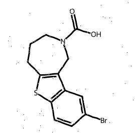 O=C(O)N1CCCc2sc3ccc(Br)cc3c2C1